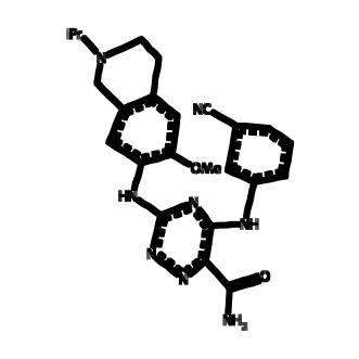 COc1cc2c(cc1Nc1nnc(C(N)=O)c(Nc3cccc(C#N)c3)n1)CN(C(C)C)CC2